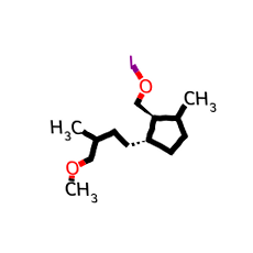 COCC(C)CC[C@H]1CCC(C)[C@@H]1COI